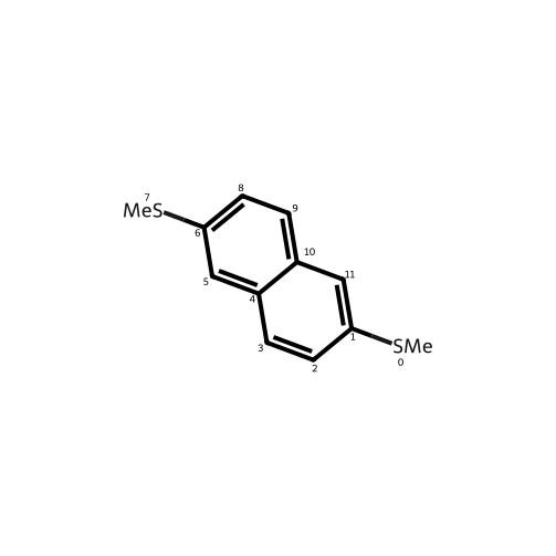 CSc1ccc2cc(SC)ccc2c1